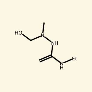 C=C(NCC)NN(C)CO